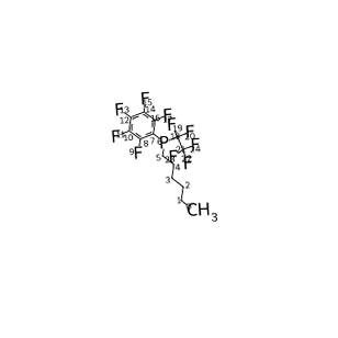 CCCCCCP(c1c(F)c(F)c(F)c(F)c1F)C(F)(F)C(F)(F)F